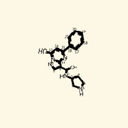 O=C(NC1CCNC1)c1cnn2c(O)cc(-c3ccccc3)nc12